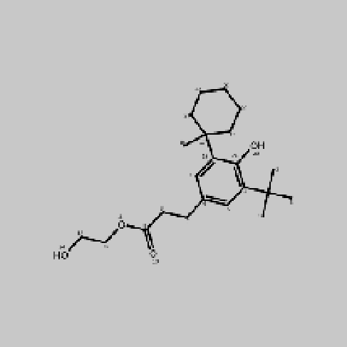 CC(C)(C)c1cc(CCC(=O)OCCO)cc(C2(C)CCCCC2)c1O